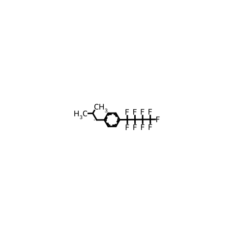 CC(C)[CH]c1ccc(C(F)(F)C(F)(F)C(F)(F)C(F)(F)F)cc1